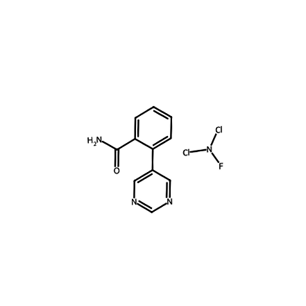 FN(Cl)Cl.NC(=O)c1ccccc1-c1cncnc1